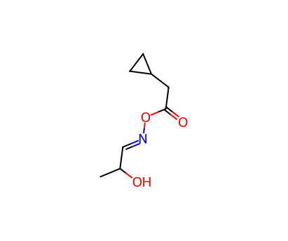 CC(O)C=NOC(=O)CC1CC1